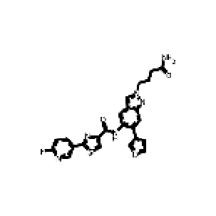 NC(=O)CCCn1cc2cc(NC(=O)c3csc(-c4ccc(F)nc4)n3)c(-c3ccoc3)cc2n1